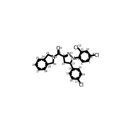 O=C(C1=NN(c2ccc(Cl)cc2Cl)C(c2ccc(Cl)cc2)C1)N1Cc2ccccc2C1